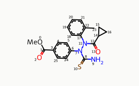 COC(=O)c1ccc(N(C(N)=S)N(C(=O)C2CC2)c2ccccc2C)cc1